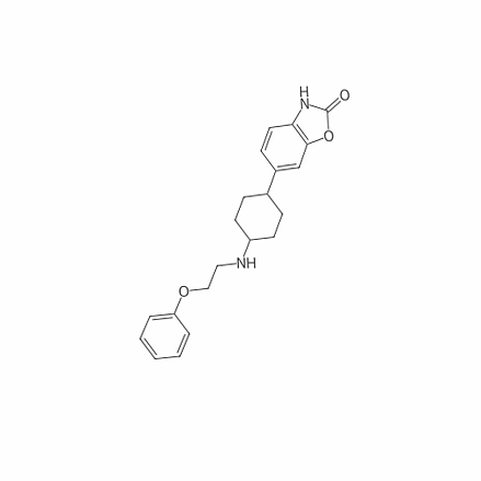 O=c1[nH]c2ccc(C3CCC(NCCOc4ccccc4)CC3)cc2o1